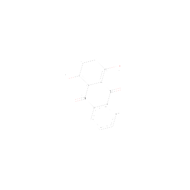 O=C1C2=C(O)CCC(O)=C2C(=O)c2ccccc21